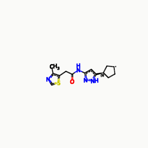 Cc1ncsc1CC(=O)Nc1cc([C@H]2C[CH]CC2)[nH]n1